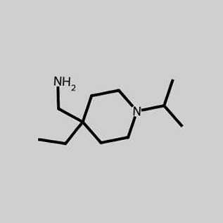 CCC1(CN)CCN(C(C)C)CC1